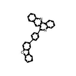 c1ccc2nc3c(cc2c1)c(-c1ccc(-c2ccc4oc5ccccc5c4c2)cc1)nc1ccccc13